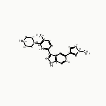 Cc1ccc(-c2n[nH]c3cnc(-c4cnn(C)c4)cc23)nc1N1CCNCC1